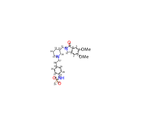 COc1cc2c(cc1OC)C(=O)N(CC1CCCN(CCc3ccc(NS(C)(=O)=O)cc3)C1)C2